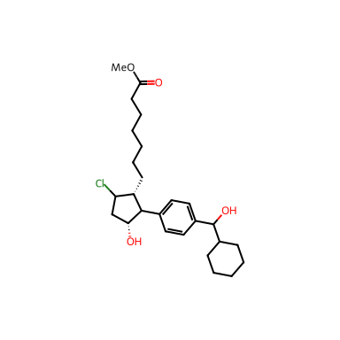 COC(=O)CCCCCC[C@H]1C(Cl)C[C@@H](O)C1c1ccc(C(O)C2CCCCC2)cc1